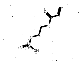 C=CC(=O)OCCO[PH](=O)O